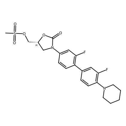 CS(=O)(=O)OC[C@H]1CN(c2ccc(-c3ccc(N4CCCCC4)c(F)c3)c(F)c2)C(=O)O1